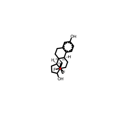 C[C@]12CC[C@@H]3c4ccc(O)cc4CC[C@@]3(C=C(F)F)[C@@H]1CCC2O